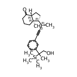 C[C@@H](C#Cc1cccc(C(C)(CO)[Si](C)(C)C)c1)[C@H]1CC[C@H]2C(=O)CCC[C@]12C